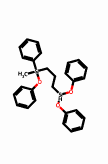 C[Si](CCC[SiH](Oc1ccccc1)Oc1ccccc1)(Oc1ccccc1)c1ccccc1